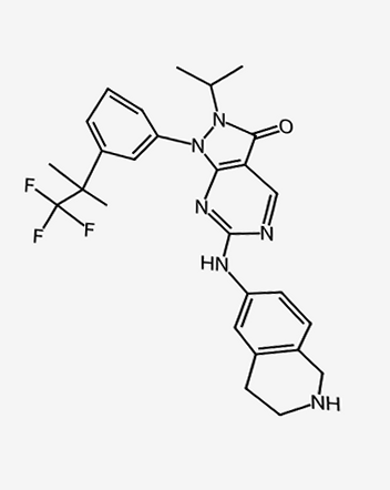 CC(C)n1c(=O)c2cnc(Nc3ccc4c(c3)CCNC4)nc2n1-c1cccc(C(C)(C)C(F)(F)F)c1